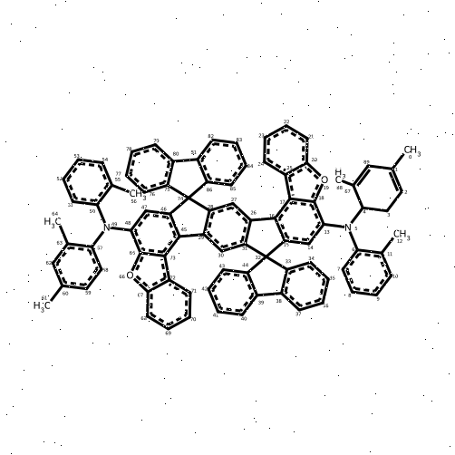 CC1=CCC(N(c2ccccc2C)c2cc3c(c4c2oc2ccccc24)-c2cc4c(cc2C32c3ccccc3-c3ccccc32)-c2c(cc(N(c3ccccc3C)c3ccc(C)cc3C)c3oc5ccccc5c23)C42c3ccccc3-c3ccccc32)C(C)=C1